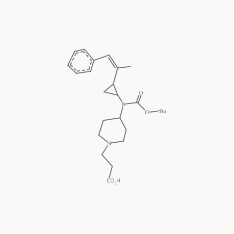 CC(=Cc1ccccc1)C1CC1N(C(=O)OC(C)(C)C)C1CCN(CCC(=O)O)CC1